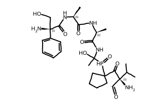 CC(C)[C@](N)([C]=O)C(=O)C1([PH](=O)C(C)(O)NC(=O)[C@H](C)NC(=O)[C@H](C)NC(=O)[C@@](N)(CO)c2ccccc2)CCCC1